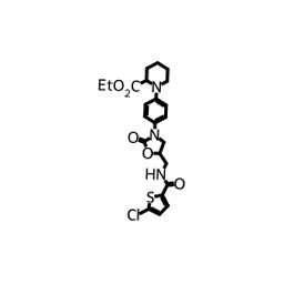 CCOC(=O)C1CCCCN1c1ccc(N2CC(CNC(=O)c3ccc(Cl)s3)OC2=O)cc1